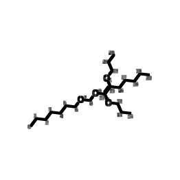 CCCCCCCOCOC(OCCC)=C(CCCCC)OCCC